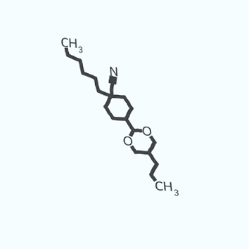 CCCCCCC1(C#N)CCC(C2OCC(CCC)CO2)CC1